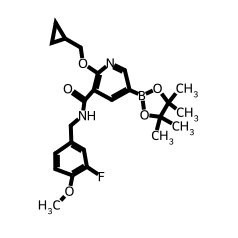 COc1ccc(CNC(=O)c2cc(B3OC(C)(C)C(C)(C)O3)cnc2OCC2CC2)cc1F